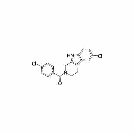 O=C(c1ccc(Cl)cc1)N1CCc2c([nH]c3ccc(Cl)cc23)C1